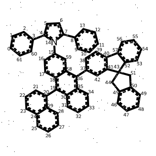 c1ccc(-c2ccc(-c3ccccc3)n2-c2ccc3c(-c4cccc5ccccc45)c4ccccc4c(-c4ccc5c(c4)C4(Cc6ccccc6C4)c4ccccc4-5)c3c2)cc1